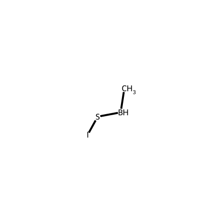 CBSI